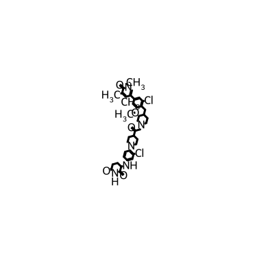 COc1cc(-c2cn(C)c(=O)c(C)c2C)cc(Cl)c1CC1CCN(CC(=O)C2CCN(c3ccc(NC4CCC(=O)NC4=O)cc3Cl)CC2)CC1